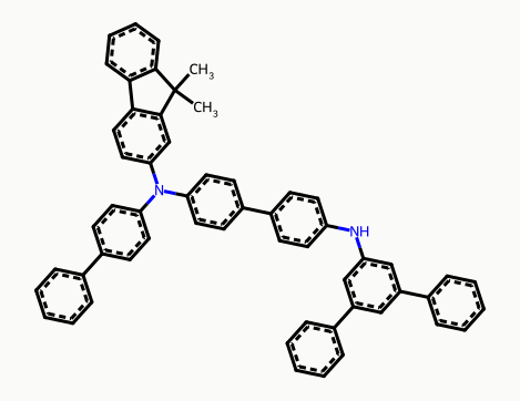 CC1(C)c2ccccc2-c2ccc(N(c3ccc(-c4ccccc4)cc3)c3ccc(-c4ccc(Nc5cc(-c6ccccc6)cc(-c6ccccc6)c5)cc4)cc3)cc21